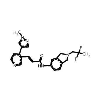 Cn1cc(-c2ccncc2C=CC(=O)Nc2ccc3c(c2)CN(CC(C)(F)F)C3)cn1